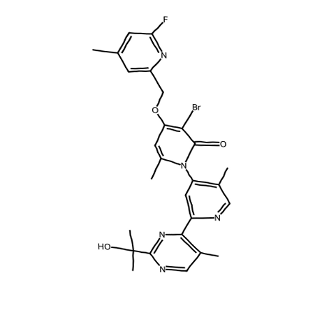 Cc1cc(F)nc(COc2cc(C)n(-c3cc(-c4nc(C(C)(C)O)ncc4C)ncc3C)c(=O)c2Br)c1